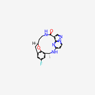 C[C@H]1Nc2ccn3ncc(c3n2)C(=O)NCC[C@@H]2Cc3cc(F)cc1c3O2